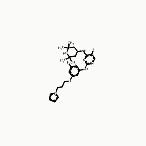 CC1(C)CC(Nc2nc(Nc3cc(F)cc(OCCCn4cccc4)c3)ncc2F)CC(C)(C)N1